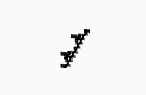 O=S(=O)(O)C(CCCO)CCCOCCCC(CCCO)S(=O)(=O)O